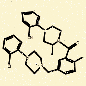 Cc1ccc(CN2CCN(c3ccccc3Cl)CC2)cc1C(=O)N1CCN(c2ccccc2C#N)C[C@@H]1C